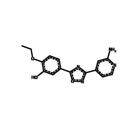 CCOc1ccc(-c2nc(-c3ccnc(N)c3)no2)cc1O